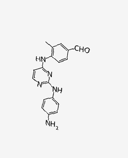 Cc1cc(C=O)ccc1Nc1ccnc(Nc2ccc(N)cc2)n1